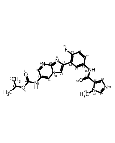 CC(C)OC(=O)Nc1cnc2nc(-c3cc(NC(=O)c4cncn4C)ccc3F)cn2c1